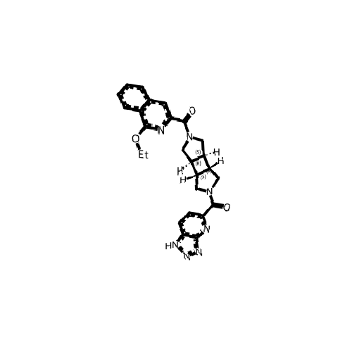 CCOc1nc(C(=O)N2C[C@@H]3[C@H](C2)[C@H]2CN(C(=O)c4ccc5[nH]nnc5n4)C[C@@H]32)cc2ccccc12